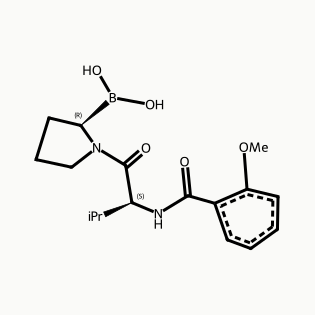 COc1ccccc1C(=O)N[C@H](C(=O)N1CCC[C@H]1B(O)O)C(C)C